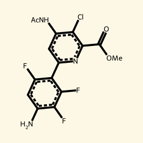 COC(=O)c1nc(-c2c(F)cc(N)c(F)c2F)cc(NC(C)=O)c1Cl